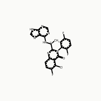 C[C@H](Nc1ncnc2[nH]cnc12)c1nc2ccc(F)c(Cl)c2c(=O)n1-c1cc(F)ccc1F